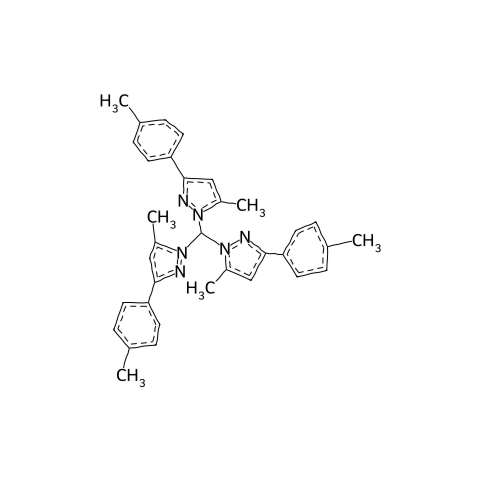 Cc1ccc(-c2cc(C)n(C(n3nc(-c4ccc(C)cc4)cc3C)n3nc(-c4ccc(C)cc4)cc3C)n2)cc1